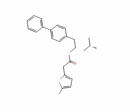 C[C@H](C[C@@H](Cc1ccc(-c2ccccc2)cc1)NC(=O)Cc1ccc(C(=O)O)o1)C(=O)O